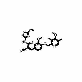 CCc1nnc(NC(=O)C(C#N)=Cc2ccc(OCc3ncc(C)c(OC)c3C)c(OC)c2)s1